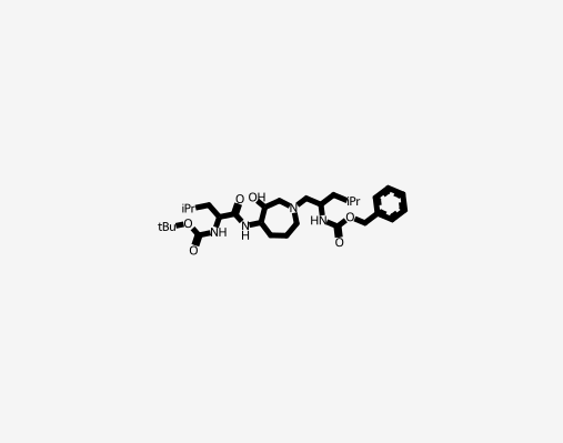 CC(C)CC(CN1CCCC(NC(=O)C(CC(C)C)NC(=O)OC(C)(C)C)C(O)C1)NC(=O)OCc1ccccc1